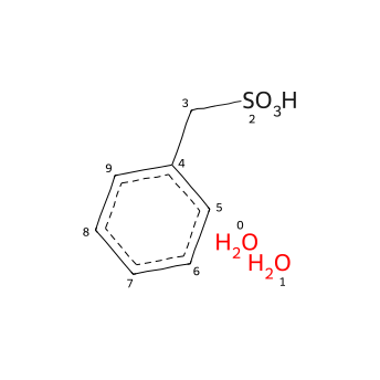 O.O.O=S(=O)(O)Cc1ccccc1